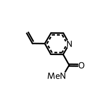 C=Cc1ccnc(C(=O)NC)c1